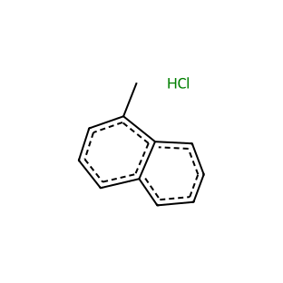 Cc1cccc2ccccc12.Cl